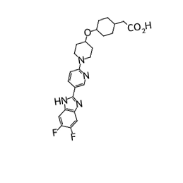 O=C(O)CC1CCC(OC2CCN(c3ccc(-c4nc5cc(F)c(F)cc5[nH]4)cn3)CC2)CC1